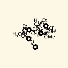 CCN(Cc1nc(-c2ccc(OCc3ccccc3)cc2)oc1C)c1ccc(C(O)(C(F)(F)F)C(F)(F)F)cc1.CCN(Cc1nc(-c2cccc(C(=O)OC)c2)oc1C)c1ccc(C(O)(C(F)(F)F)C(F)(F)F)cc1